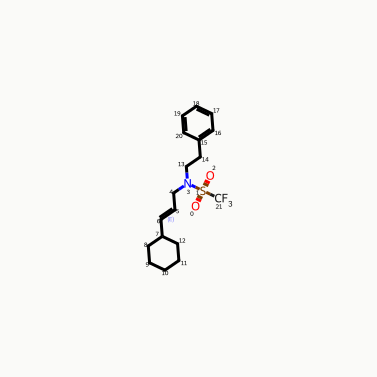 O=S(=O)(N(C/C=C/C1CCCCC1)CCc1ccccc1)C(F)(F)F